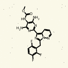 COC(=O)Nc1c(N)nc(-c2nc(Cc3c(F)ccc(F)c3F)n3ncccc23)nc1N